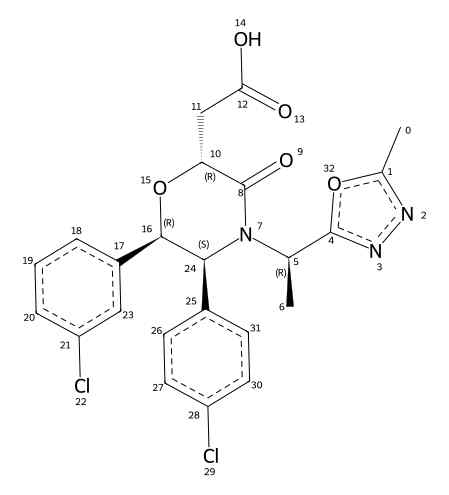 Cc1nnc([C@@H](C)N2C(=O)[C@@H](CC(=O)O)O[C@H](c3cccc(Cl)c3)[C@@H]2c2ccc(Cl)cc2)o1